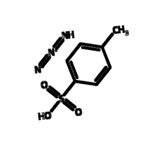 Cc1ccc(S(=O)(=O)O)cc1.[N-]=[N+]=N